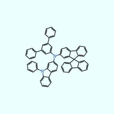 c1ccc(-c2cc(-c3ccccc3)cc(N(c3ccc4c(c3)C3(c5ccccc5-c5ccccc53)c3ccccc3-4)c3ccc4c5ccccc5n(-c5ccccc5)c4c3)c2)cc1